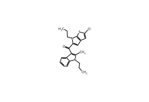 CCCn1c(C)c(C(=O)c2cc3cc(Cl)sc3n2CCC)c2ccccc21